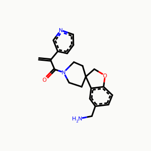 C=C(C(=O)N1CCC2(CC1)COc1ccc(CN)cc12)c1cccnc1